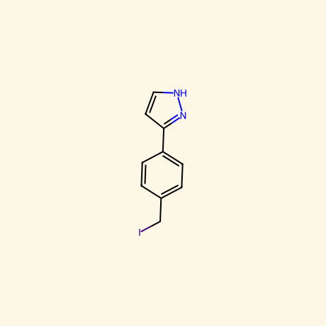 ICc1ccc(-c2cc[nH]n2)cc1